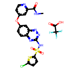 CNC(=O)c1cc(Oc2ccc3nc(NS(=O)(=O)c4ccc(Cl)s4)nnc3c2)ccn1.O=C(O)C(F)(F)F